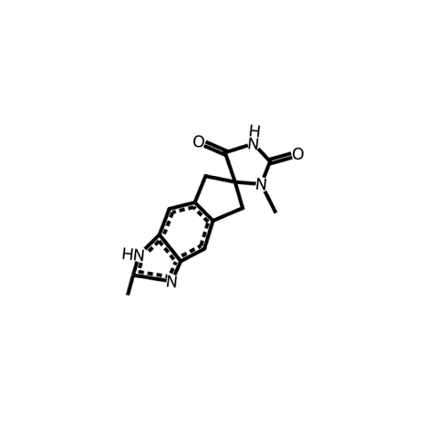 Cc1nc2cc3c(cc2[nH]1)CC1(C3)C(=O)NC(=O)N1C